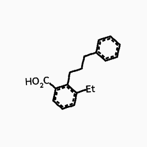 CCc1cccc(C(=O)O)c1CCCc1ccccc1